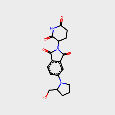 O=C1CCC(N2C(=O)c3ccc(N4CCCC4CO)cc3C2=O)C(=O)N1